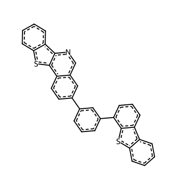 c1cc(-c2ccc3c(cnc4c5ccccc5sc34)c2)cc(-c2cccc3c2sc2ccccc23)c1